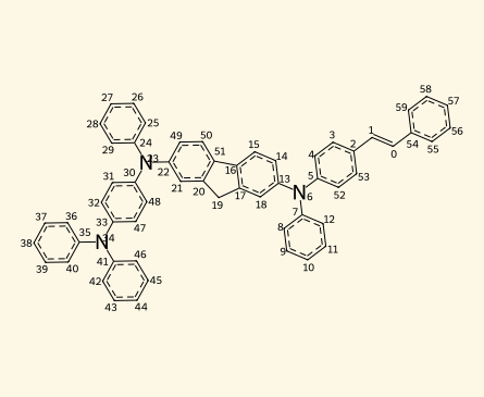 C(=Cc1ccc(N(c2ccccc2)c2ccc3c(c2)Cc2cc(N(c4ccccc4)c4ccc(N(c5ccccc5)c5ccccc5)cc4)ccc2-3)cc1)c1ccccc1